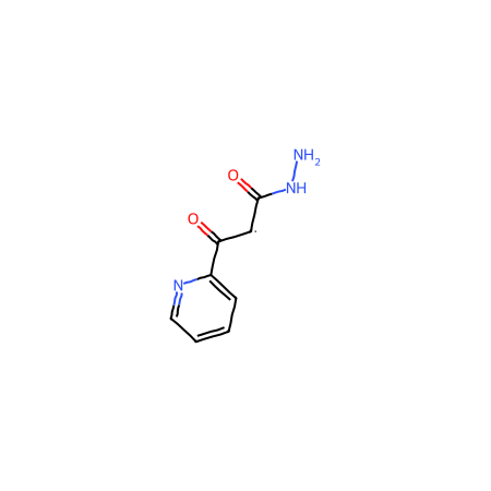 NNC(=O)[CH]C(=O)c1ccccn1